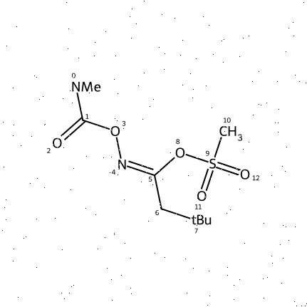 CNC(=O)ON=C(CC(C)(C)C)OS(C)(=O)=O